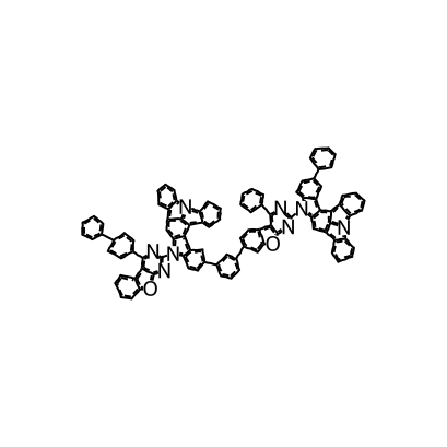 c1ccc(-c2ccc(-c3nc(-n4c5ccc(-c6cccc(-c7ccc8c(c7)oc7nc(-n9c%10ccc(-c%11ccccc%11)cc%10c%10c%11c%12ccccc%12n%12c%13ccccc%13c(cc%109)c%11%12)nc(-c9ccccc9)c78)c6)cc5c5c6c7ccccc7n7c8ccccc8c(cc54)c67)nc4oc5ccccc5c34)cc2)cc1